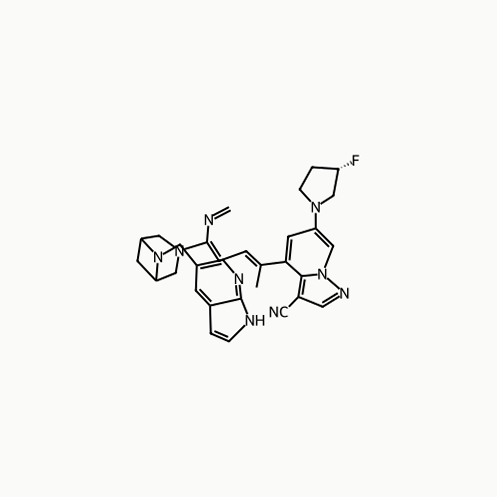 C=N/C(=C\C=C(/C)c1cc(N2CC[C@H](F)C2)cn2ncc(C#N)c12)N1CC2CC(C1)N2Cc1cnc2[nH]ccc2c1